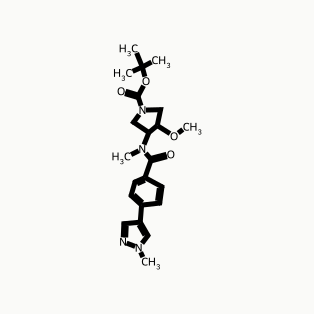 COC1CN(C(=O)OC(C)(C)C)CC1N(C)C(=O)c1ccc(-c2cnn(C)c2)cc1